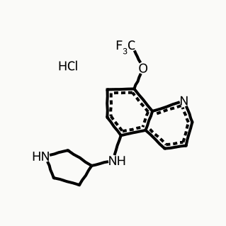 Cl.FC(F)(F)Oc1ccc(NC2CCNC2)c2cccnc12